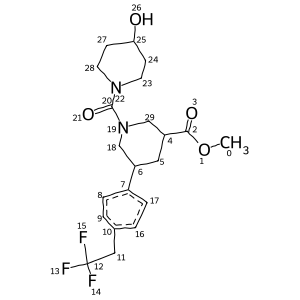 COC(=O)C1CC(c2ccc(CC(F)(F)F)cc2)CN(C(=O)N2CCC(O)CC2)C1